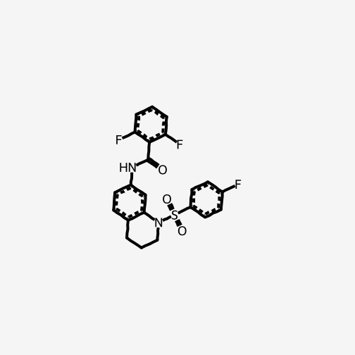 O=C(Nc1ccc2c(c1)N(S(=O)(=O)c1ccc(F)cc1)CCC2)c1c(F)cccc1F